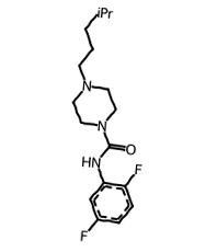 CC(C)CCCN1CCN(C(=O)Nc2cc(F)ccc2F)CC1